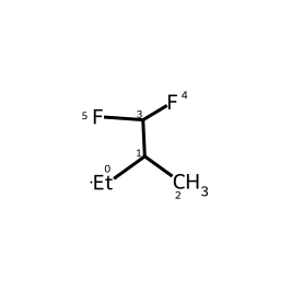 C[CH]C(C)C(F)F